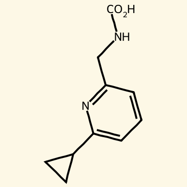 O=C(O)NCc1cccc(C2CC2)n1